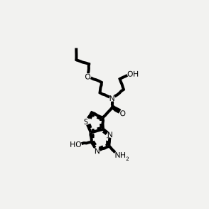 CCCOCCN(CCO)C(=O)c1csc2c(O)nc(N)nc12